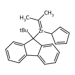 C[C](C)=[Zr]([CH]1C=CC=C1)[C]1(C(C)(C)C)c2ccccc2-c2ccccc21